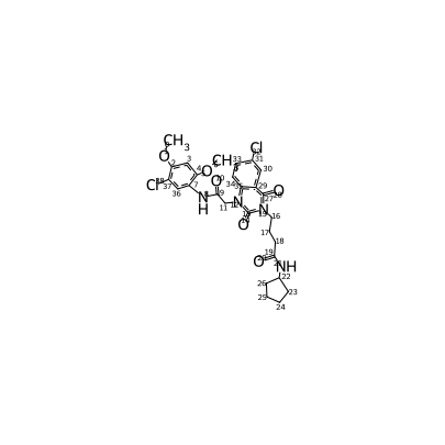 COc1cc(OC)c(NC(=O)Cn2c(=O)n(CCCC(=O)NC3CCCC3)c(=O)c3cc(Cl)ccc32)cc1Cl